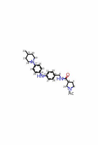 CC(=O)N1CCC(C(=O)NCc2ccc(Nc3ccc(N4CCC(C)CC4)cc3)cc2)C1